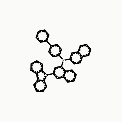 c1ccc(-c2ccc(N(c3ccc4ccccc4c3)c3cc(-n4c5ccccc5c5ccccc54)cc4ccccc34)cc2)cc1